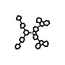 c1ccc(-c2ccc(-c3cc(-c4ccc(-c5ccccc5)cc4)cc(-n4c5ccc(-c6cc7ccccc7c7ccccc67)cc5c5cc(-c6cc7ccccc7c7ccccc67)ccc54)c3)cc2)cc1